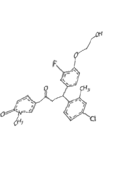 Cc1cc(Cl)ccc1C(CC(=O)c1ccc(=O)n(C)c1)c1ccc(OCCO)c(F)c1